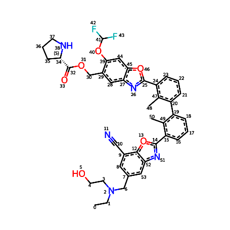 CCN(CCO)Cc1cc(C#N)c2oc(-c3cccc(-c4cccc(-c5nc6cc(COC(=O)[C@@H]7CCCN7)c(OC(F)F)cc6o5)c4C)c3C)nc2c1